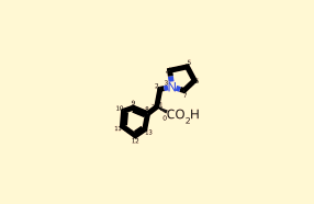 O=C(O)[C@H](CN1CCCC1)c1ccccc1